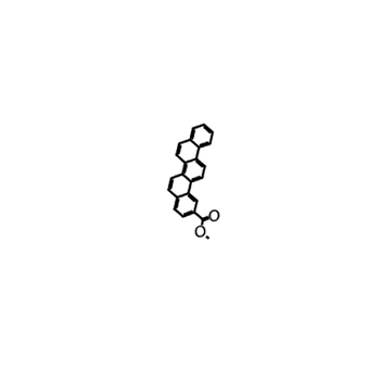 COC(=O)c1ccc2ccc3c(ccc4c5ccccc5ccc43)c2c1